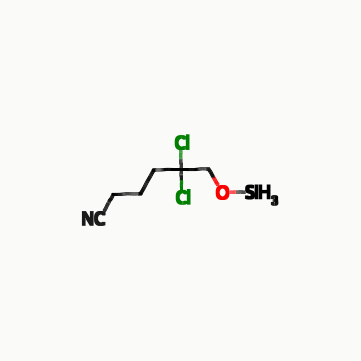 N#CCCCC(Cl)(Cl)CO[SiH3]